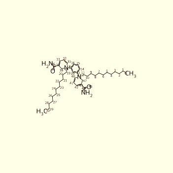 CCCCCCCCCCCC[N+]1(c2cccc([N+]3(CCCCCCCCCCCC)C=CC=C(C(N)=O)C3)c2)C=CC=C(C(N)=O)C1